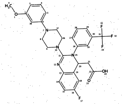 COc1cccc(N2CCN(C3=Nc4ccc(F)cc4C(CC(=O)O)N3c3cccc(C(F)(F)F)c3)CC2)c1